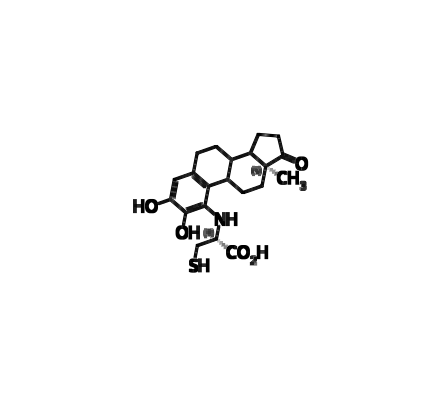 C[C@]12CCC3c4c(cc(O)c(O)c4N[C@@H](CS)C(=O)O)CCC3C1CCC2=O